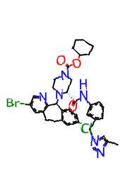 Cc1cn(Cc2cccc(NC(=O)[C@H]3CN(C(=O)OC4CCCCC4)CCN3C3c4ccc(Cl)cc4CCc4cc(Br)cnc43)c2)cn1